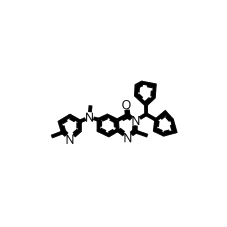 Cc1ccc(N(C)c2ccc3nc(C)n(C(c4ccccc4)c4ccccc4)c(=O)c3c2)cn1